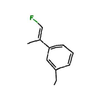 C/C(=C\F)c1cccc(C)c1